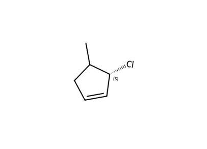 CC1CC=C[C@H]1Cl